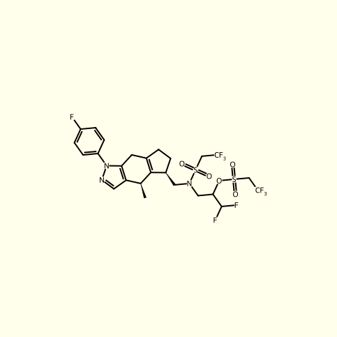 C[C@@H]1C2=C(CC[C@H]2CN(CC(OS(=O)(=O)CC(F)(F)F)C(F)F)S(=O)(=O)CC(F)(F)F)Cc2c1cnn2-c1ccc(F)cc1